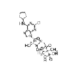 CC(C)(P(=O)(O)O)S(=O)(=O)C[C@H]1O[C@@H](n2cnc3c(NC4CCCC4)nc(Cl)nc32)[C@H](O)[C@@H]1O